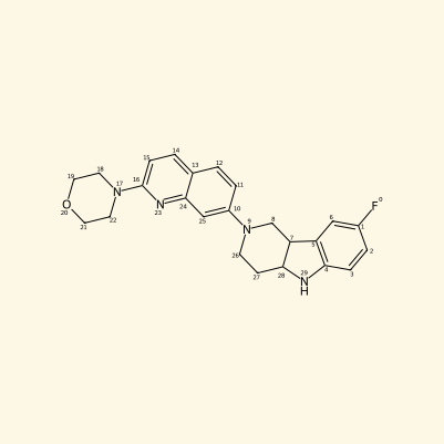 Fc1ccc2c(c1)C1CN(c3ccc4ccc(N5CCOCC5)nc4c3)CCC1N2